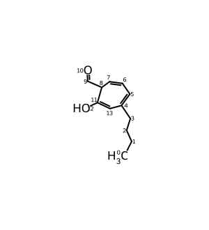 CCCCC1=CC=CC(C=O)C(O)=C1